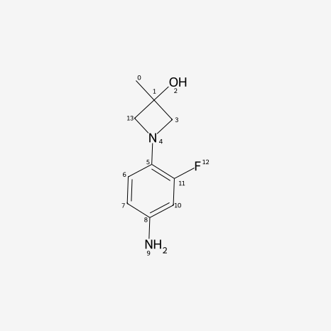 CC1(O)CN(c2ccc(N)cc2F)C1